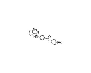 CC(=O)N1CCC(CC(=O)c2ccc(Nc3ncnc4c3CCC4)cc2)CC1